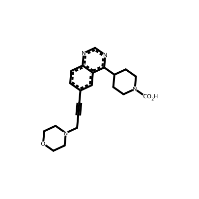 O=C(O)N1CCC(c2ncnc3ccc(C#CCN4CCOCC4)cc23)CC1